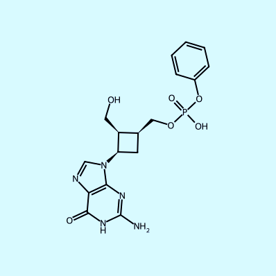 Nc1nc2c(ncn2[C@@H]2C[C@H](COP(=O)(O)Oc3ccccc3)[C@@H]2CO)c(=O)[nH]1